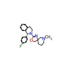 CN1CCCC2(COC(N3CCc4ccccc4[C@@H]3c3ccc(F)cc3)=N2)C1